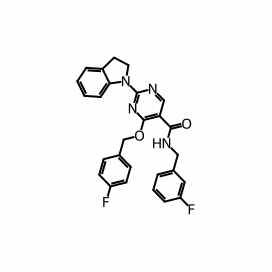 O=C(NCc1cccc(F)c1)c1cnc(N2CCc3ccccc32)nc1OCc1ccc(F)cc1